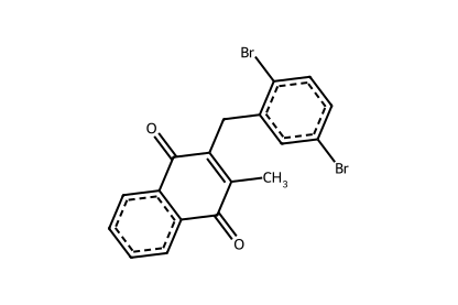 CC1=C(Cc2cc(Br)ccc2Br)C(=O)c2ccccc2C1=O